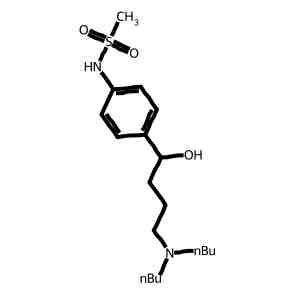 CCCCN(CCCC)CCCC(O)c1ccc(NS(C)(=O)=O)cc1